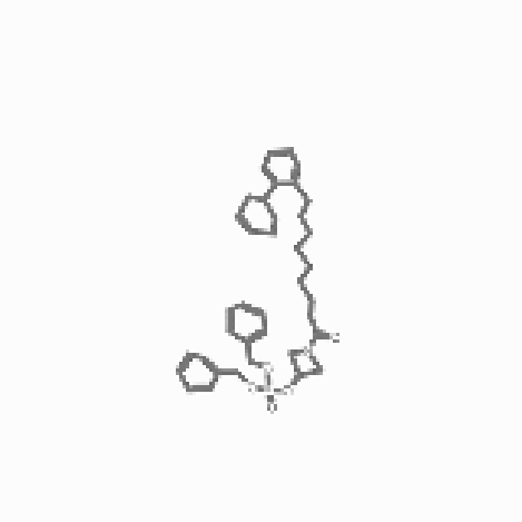 O=C(CCCCCCCCc1ccccc1C1CC=CCC1)N1CC(OP(=O)(OCc2ccccc2)OCc2ccccc2)C1